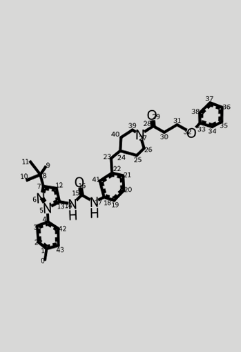 Cc1ccc(-n2nc(C(C)(C)C)cc2NC(=O)Nc2cccc(CC3CCN(C(=O)CCOc4ccccc4)CC3)c2)cc1